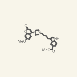 COC(=O)c1ccc2[nH]cc(CCCCN3CCN(c4cc(=O)oc5cc(OC)ccc45)CC3)c2c1